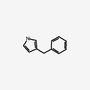 C1=CC(Cc2ccccc2)=C[N]1